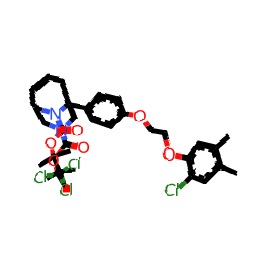 Cc1cc(Cl)c(OCCOc2ccc(C34CC=CC(CN(C(=O)OC(C)(C)C)C3)N4C(=O)OC(C)(C)C(Cl)(Cl)Cl)cc2)cc1C